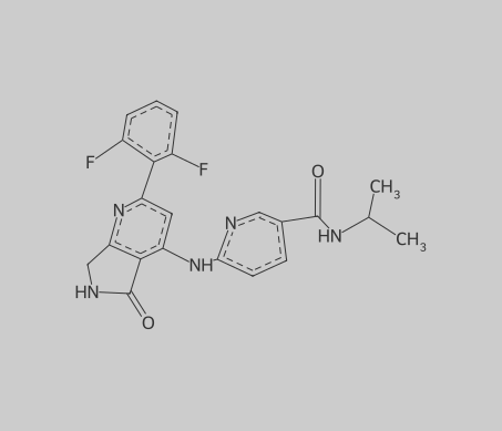 CC(C)NC(=O)c1ccc(Nc2cc(-c3c(F)cccc3F)nc3c2C(=O)NC3)nc1